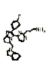 NCCCc1nccc(-c2c(-c3ccc(F)cc3)nc3n2C(Cn2ccc4ccccc42)CC3)n1